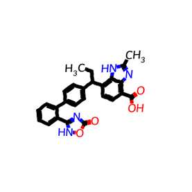 CCC(c1ccc(-c2ccccc2-c2nc(=O)o[nH]2)cc1)c1ccc(C(=O)O)c2nc(C)[nH]c12